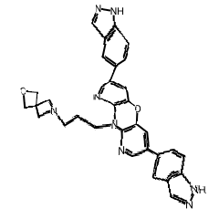 c1cc2[nH]ncc2cc1-c1cnc2c(c1)Oc1cc(-c3ccc4[nH]ncc4c3)cnc1N2CCCN1CC2(COC2)C1